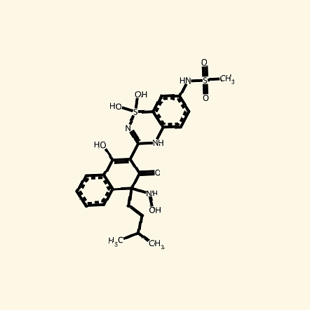 CC(C)CCC1(NO)C(=O)C(C2=NS(O)(O)c3cc(NS(C)(=O)=O)ccc3N2)=C(O)c2ccccc21